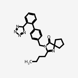 CCCCC1=NC2(CCCC2)C(=O)N1Cc1ccc(-c2ccccc2C2N=NN=N2)cc1